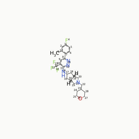 Cc1cc(F)ccc1-c1cc(C(F)(F)F)c(NC2C[C@@H]3CN(CC4CCOCC4)C[C@@H]3C2)nn1